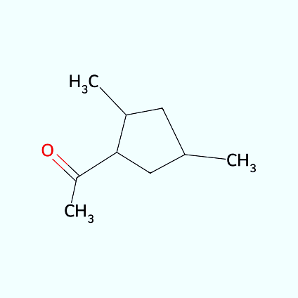 CC(=O)C1CC(C)CC1C